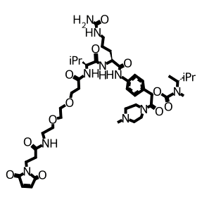 CC(C)[C@H](NC(=O)CCOCCOCCNC(=O)CCN1C(=O)C=CC1=O)C(=O)N[C@@H](CCCNC(N)=O)C(=O)Nc1ccc(C(OC(=O)N(C)[C@H](C)C(C)C)C(=O)N2CCN(C)CC2)cc1